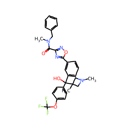 CN1CC(C)(C(O)(c2ccc(OC(F)(F)F)cc2)c2cccc(-c3nc(C(=O)N(C)Cc4ccccc4)no3)c2)C1